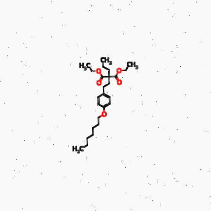 CCCCCCCOc1ccc(CCC(CCC)(C(=O)OCC)C(=O)OCC)cc1